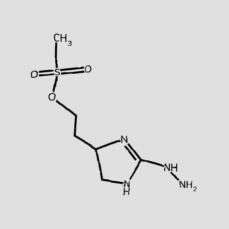 CS(=O)(=O)OCCC1CNC(NN)=N1